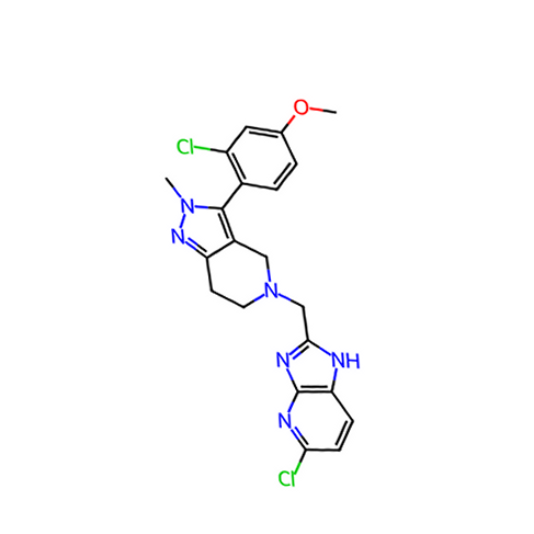 COc1ccc(-c2c3c(nn2C)CCN(Cc2nc4nc(Cl)ccc4[nH]2)C3)c(Cl)c1